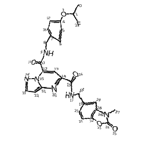 CC(F)Oc1ccc(CNC(=O)c2cc(C(=O)NCc3ccc4oc(=O)n(C)c4c3)nc3ccnn23)cc1